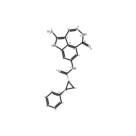 Bc1[nH]c2cc(NC(=O)[C@@H]3C[C@H]3c3ccccc3)cc3c2c1C=NNC3=O